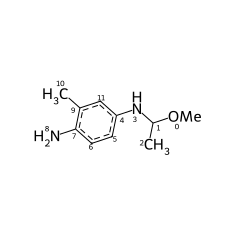 COC(C)Nc1ccc(N)c(C)c1